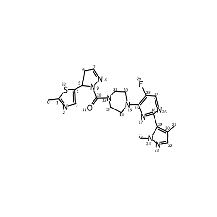 Cc1ncc(C2CC=NN2C(=O)N2CCN(c3nc(-c4c(C)cnn4C)ncc3F)CC2)s1